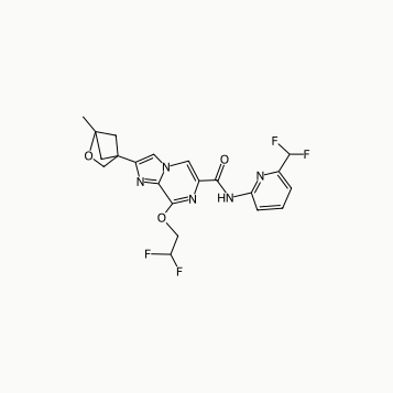 CC12CC(c3cn4cc(C(=O)Nc5cccc(C(F)F)n5)nc(OCC(F)F)c4n3)(CO1)C2